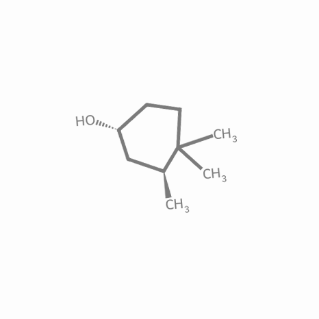 C[C@H]1C[C@H](O)CCC1(C)C